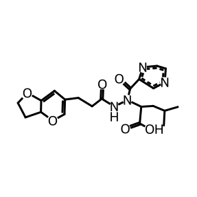 CC(C)CC(C(=O)O)N(NC(=O)CCC1=COC2CCOC2=C1)C(=O)c1cnccn1